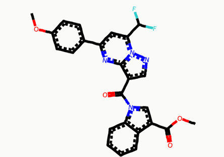 COC(=O)c1cn(C(=O)c2cnn3c(C(F)F)cc(-c4ccc(OC)cc4)nc23)c2ccccc12